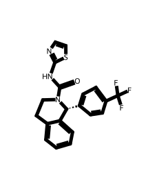 O=C(Nc1nccs1)N1CCc2ccccc2[C@H]1c1ccc(C(F)(F)F)cc1